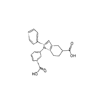 O=C(O)c1cccc(-n2c(-c3ccccc3)cc3c2CCC(C(=O)O)C3)c1